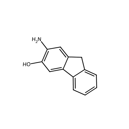 Nc1cc2c(cc1O)-c1ccccc1C2